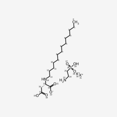 CCCCCCCCCCCCCCN[C@@H](CC(=O)[O-])C(=O)[O-].NCCS(=O)(=O)O.[K+].[K+]